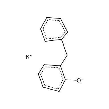 [K+].[O-]c1ccccc1Cc1ccccc1